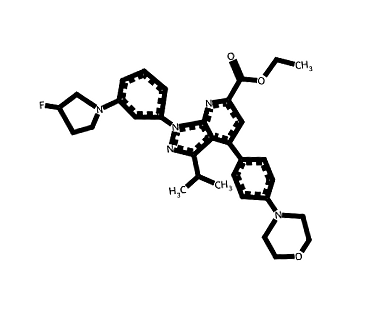 CCOC(=O)c1cc(-c2ccc(N3CCOCC3)cc2)c2c(C(C)C)nn(-c3cccc(N4CCC(F)C4)c3)c2n1